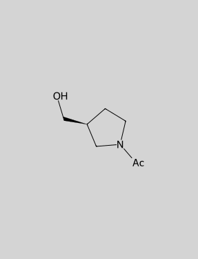 CC(=O)N1CC[C@H](CO)C1